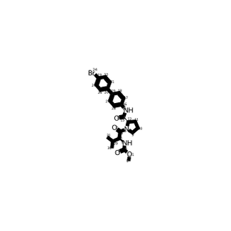 COC(=O)N[C@H](C(=O)N1CCC[C@H]1C(=O)Nc1ccc(-c2ccc(Br)cc2)cc1)C(C)C